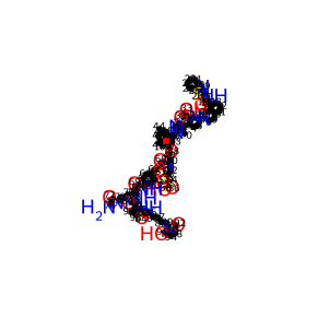 Cc1c(-c2ccc(N3CCc4cccc(C(=O)Nc5nc6ccccc6s5)c4C3)nc2C(=O)O)cnn1CC12CC3(C)CC(C)(C1)CC(OCCN(CCCS(=O)(=O)O)C(=O)OCc1ccc(NC(=O)[C@H](CCCNC(N)=O)NC(=O)[C@@H](NC(=O)CCCCCN4C(=O)C=CC4O)C(C)C)cc1)(C3)C2